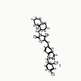 O=C1SC(=Cc2ccc3c(cnn3Cc3ccc(Cl)cc3C(F)(F)F)c2)C(=O)N1CC1CCCN2CCCC[C@H]12